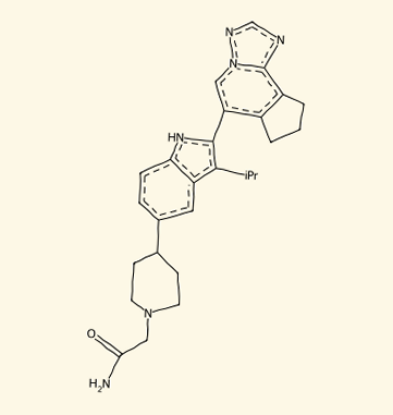 CC(C)c1c(-c2cn3ncnc3c3c2CCC3)[nH]c2ccc(C3CCN(CC(N)=O)CC3)cc12